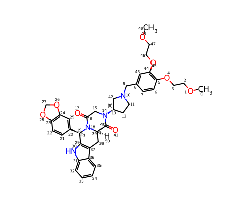 COCCOc1ccc(CN2CC[C@@H](N3CC(=O)N4[C@H](c5ccc6c(c5)OCO6)c5[nH]c6ccccc6c5C[C@@H]4C3=O)C2)cc1OCCOC